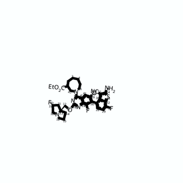 CCOC(=O)C1CCCCCN(c2nc(OC[C@@]34CCCN3C[C@H](F)C4)nc3c(F)c(-c4ccc(F)c5sc(N)c(C#N)c45)c(Cl)cc23)C1